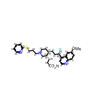 COc1ccc2nccc([C@H](F)CC[C@@H]3CCN(CCCSc4ccccn4)C[C@H]3CCC(=O)O)c2c1